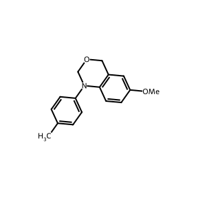 COc1ccc2c(c1)COCN2c1ccc(C)cc1